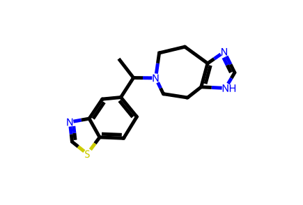 CC(c1ccc2scnc2c1)N1CCc2nc[nH]c2CC1